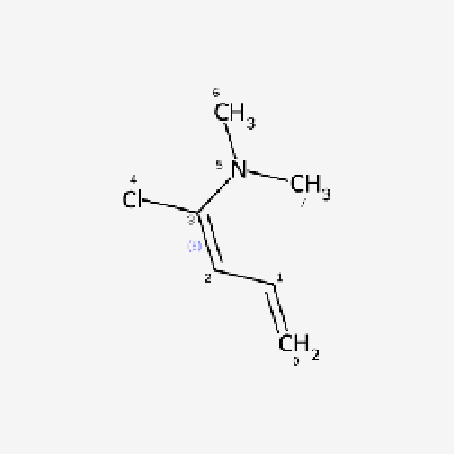 C=C/C=C(/Cl)N(C)C